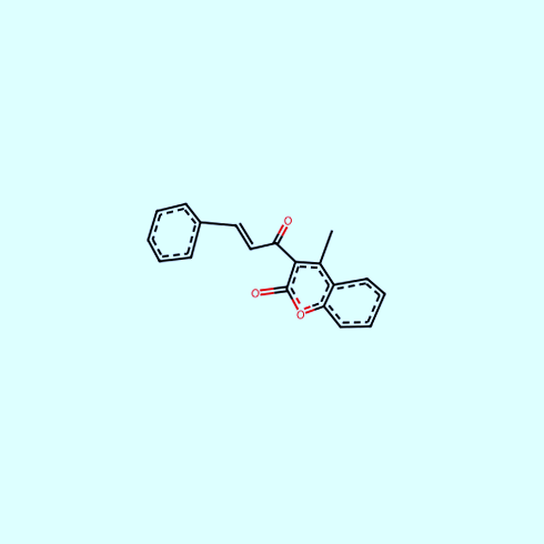 Cc1c(C(=O)/C=C/c2ccccc2)c(=O)oc2ccccc12